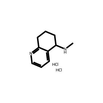 CNC1CCCc2ncccc21.Cl.Cl